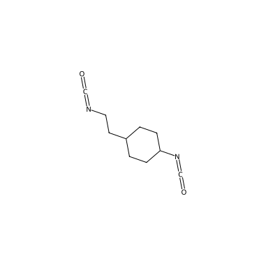 O=C=NCCC1CCC(N=C=O)CC1